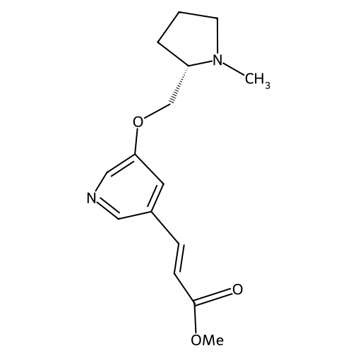 COC(=O)C=Cc1cncc(OC[C@@H]2CCCN2C)c1